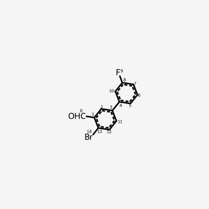 O=Cc1cc(-c2cccc(F)c2)ccc1Br